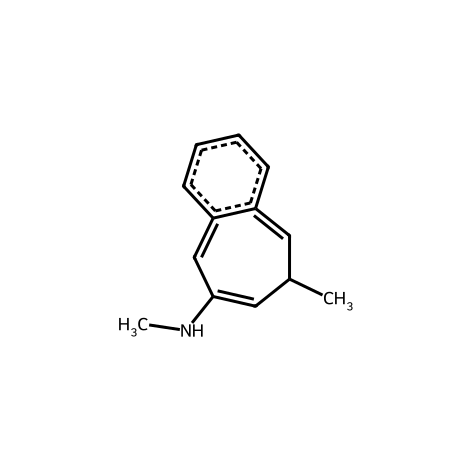 CNC1=CC(C)C=c2ccccc2=C1